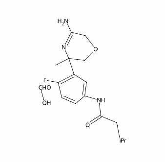 CC(C)CC(=O)Nc1ccc(F)c(C2(C)COCC(N)=N2)c1.O=CO